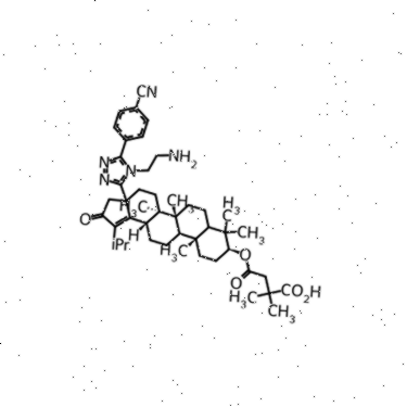 CC(C)C1=C2[C@H]3CCC4[C@@]5(C)CC[C@H](OC(=O)CC(C)(C)C(=O)O)C(C)(C)C5CC[C@@]4(C)[C@]3(C)CCC2(c2nnc(-c3ccc(C#N)cc3)n2CCN)CC1=O